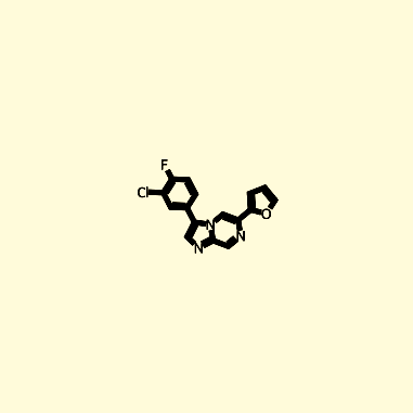 Fc1ccc(-c2cnc3cnc(-c4ccco4)cn23)cc1Cl